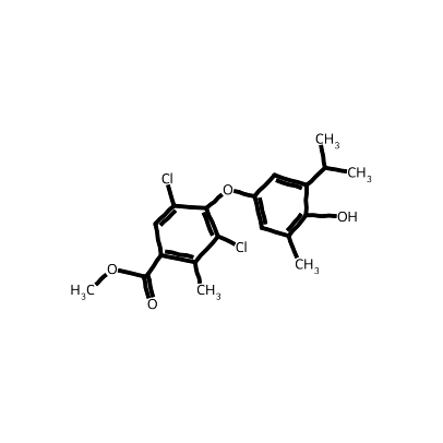 COC(=O)c1cc(Cl)c(Oc2cc(C)c(O)c(C(C)C)c2)c(Cl)c1C